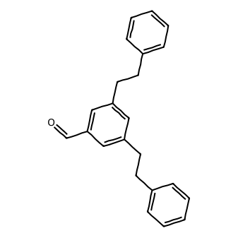 O=Cc1cc(CCc2ccccc2)cc(CCc2ccccc2)c1